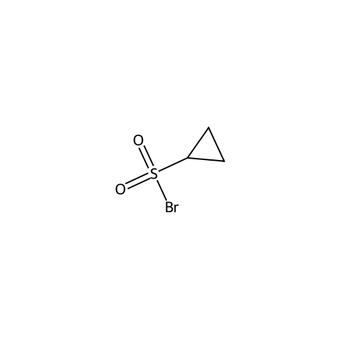 O=S(=O)(Br)C1CC1